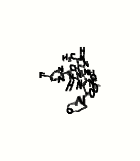 Cc1cc(Nc2nc(N[C@@H](C)c3ncc(F)cn3)nc(C(=O)N3CCOCC3)c2[N+](=O)[O-])n[nH]1